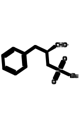 CC(C)(C)S(=O)(=O)C[C@H]([C]=O)Cc1ccccc1